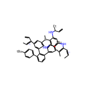 C=C/C(=C\C)c1cc2c(c(-c3c(-c4ccc(C(C)(C)C)cc4)cccc3-c3ccc(C(C)(C)C)cc3)c1)Nc1cc(NC(/C=C\C)=C(C)C)cc(NC(C=C)CC)c1B2C